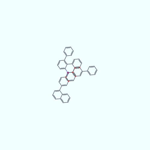 c1ccc(-c2ccc(N(c3ccc(-c4cccc5ccccc45)cc3)c3cccc(-c4ccccc4)c3-c3ccccc3-c3ccccc3)cc2)cc1